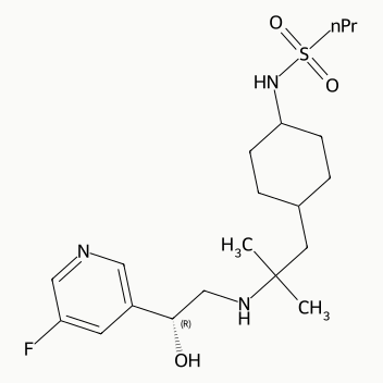 CCCS(=O)(=O)NC1CCC(CC(C)(C)NC[C@H](O)c2cncc(F)c2)CC1